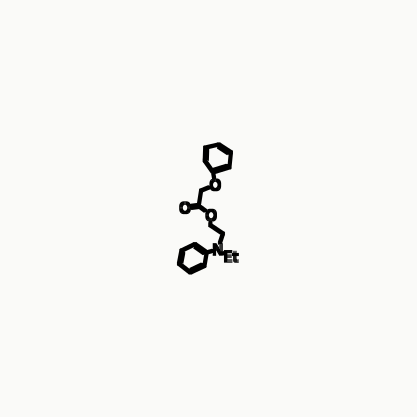 CCN(CCOC(=O)COc1ccccc1)c1ccccc1